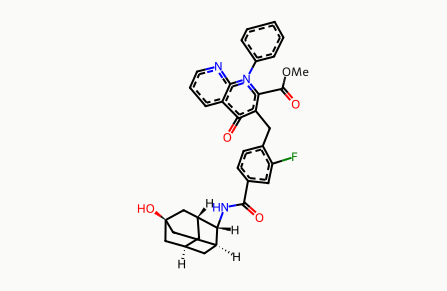 COC(=O)c1c(Cc2ccc(C(=O)N[C@H]3[C@@H]4C[C@H]5C[C@H]3C[C@](O)(C5)C4)cc2F)c(=O)c2cccnc2n1-c1ccccc1